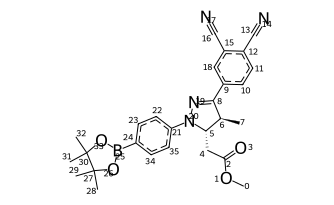 COC(=O)C[C@H]1[C@H](C)C(c2ccc(C#N)c(C#N)c2)=NN1c1ccc(B2OC(C)(C)C(C)(C)O2)cc1